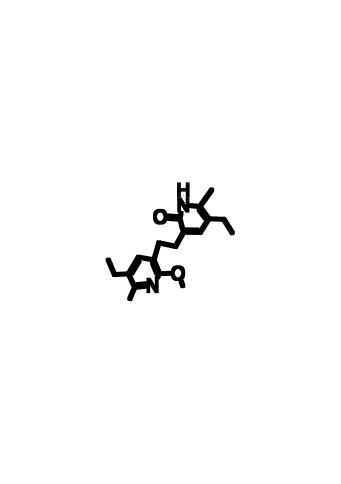 CCc1cc(CCc2cc(CC)c(C)[nH]c2=O)c(OC)nc1C